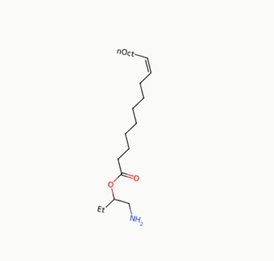 CCCCCCCC/C=C\CCCCCCCC(=O)OC(CC)CN